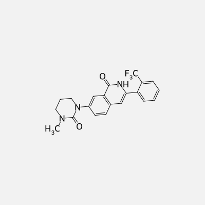 CN1CCCN(c2ccc3cc(-c4ccccc4C(F)(F)F)[nH]c(=O)c3c2)C1=O